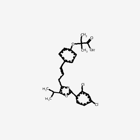 CC(C)c1oc(-c2ccc(Cl)cc2Cl)nc1CC=Cc1ccc(OC(C)(C)C(=O)O)cc1